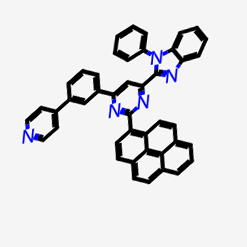 c1ccc(-n2c(-c3cc(-c4cccc(-c5ccncc5)c4)nc(-c4ccc5ccc6cccc7ccc4c5c67)n3)nc3ccccc32)cc1